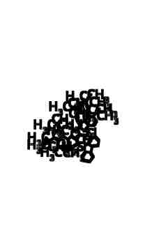 CCCC1=Cc2c(ccc(C(C)(C)C)c2-c2cc(C(C)(C)C)cc(C(C)(C)C)c2)[CH]1[Zr]([Cl])([Cl])([c]1cccc2c1[SiH2]c1ccccc1-2)[CH]1C(CCC)=Cc2c1ccc(C(C)(C)C)c2-c1cc(C(C)(C)C)cc(C(C)(C)C)c1